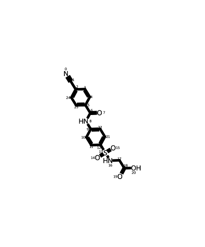 N#Cc1ccc(C(=O)Nc2ccc(S(=O)(=O)NCC(=O)O)cc2)cc1